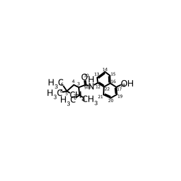 CC(C)C(CC(C)(C)C)C(=O)Nc1cccc2c(O)cccc12